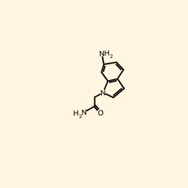 NC(=O)Cn1ccc2ccc(N)cc21